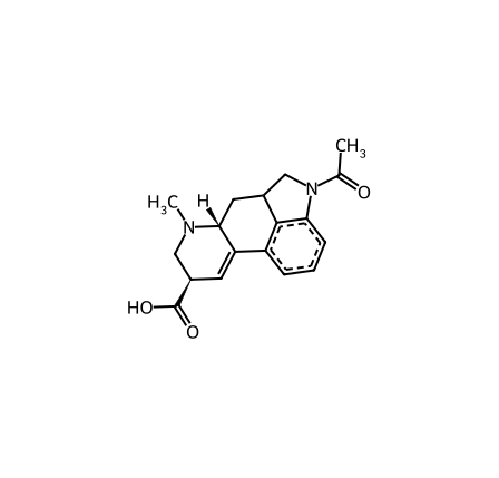 CC(=O)N1CC2C[C@@H]3C(=C[C@@H](C(=O)O)CN3C)c3cccc1c32